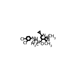 Cc1nn(C)c2nc(C3CC3)cc(C(=O)N(C)CC(=O)Nc3ccc(Cl)c(Cl)c3)c12